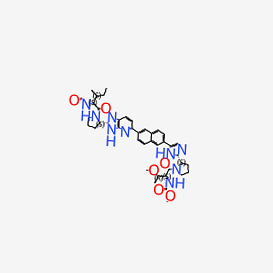 CC[C@H](C)[C@H](NC=O)C(=O)N1CCC[C@H]1c1nc2ccc(-c3ccc4cc(-c5cnc([C@@H]6CCCN6C(=O)[C@@H](NC(=O)OC)[C@@H](C)OC)[nH]5)ccc4c3)nc2[nH]1